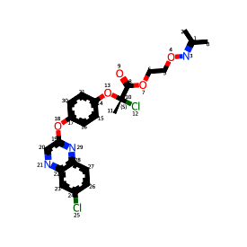 CC(C)=NOCCOC(=O)[C@](C)(Cl)Oc1ccc(Oc2cnc3cc(Cl)ccc3n2)cc1